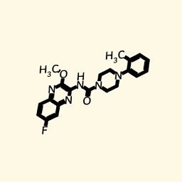 COc1nc2ccc(F)cc2nc1NC(=O)N1CCN(c2ccccc2C)CC1